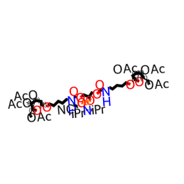 CC(=O)OC[C@H]1O[C@@H](OCCCCCNC(=O)OCC(COC(=O)NCCCCCO[C@H]2C[C@@H](OC(C)=O)[C@@H](OC(C)=O)[C@@H](COC(C)=O)O2)OP(OCCC#N)N(C(C)C)C(C)C)C[C@@H](OC(C)=O)[C@H]1OC(C)=O